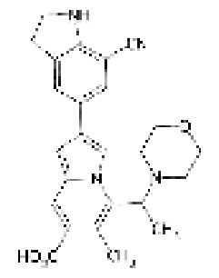 Cc1c(C(=O)O)cc2cc(-c3cc(C#N)c4c(c3)CCN4)cn2c1C(C)N1CCOCC1